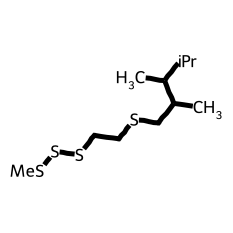 CSSSCCSCC(C)C(C)C(C)C